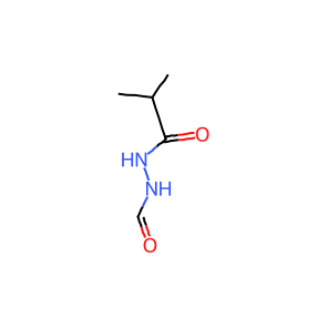 CC(C)C(=O)NNC=O